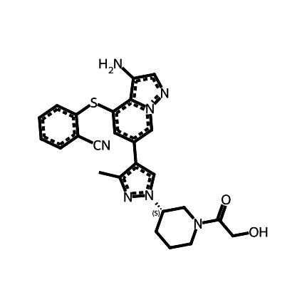 Cc1nn([C@H]2CCCN(C(=O)CO)C2)cc1-c1cc(Sc2ccccc2C#N)c2c(N)cnn2c1